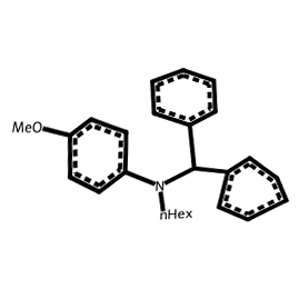 [CH2]CCCCCN(c1ccc(OC)cc1)C(c1ccccc1)c1ccccc1